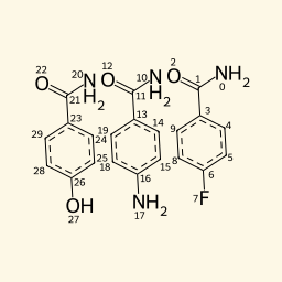 NC(=O)c1ccc(F)cc1.NC(=O)c1ccc(N)cc1.NC(=O)c1ccc(O)cc1